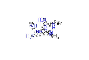 CC(C)CNCCCNC(CCN)Cc1cc(CC(CCN)NCCCNCC(C)C)cc(-c2cnn(C)c2)c1